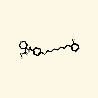 CCc1ccccc1CCCCCCCOc1ccc(S(=O)(=O)C2(C(=O)NN=O)CCOCC2)cc1